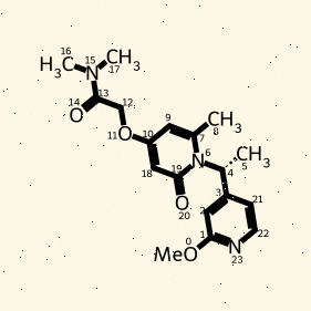 COc1cc([C@@H](C)n2c(C)cc(OCC(=O)N(C)C)cc2=O)ccn1